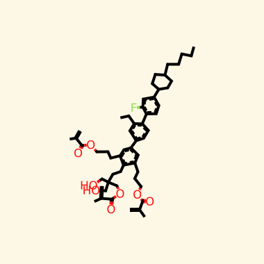 C=C(C)C(=O)OCCCc1cc(-c2ccc(-c3ccc(C4CCC(CCCCC)CC4)cc3F)c(CC)c2)cc(CCCOC(=O)C(=C)C)c1CCC(CO)(CO)COC(=O)C(=C)C